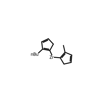 CCCCC1=[C]([Zr][C]2=C(C)C=CC2)CC=C1